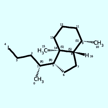 C[C@H](CCI)[C@H]1CC[C@H]2[C@@H](C)CCC[C@]12C